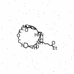 CCC(=O)CCCCC[C@@H]1NC(=O)[C@H]2CC23CCN(CCCOCCCn2ccc4cc(ccc4c2=O)-c2cnc1[nH]2)CC3